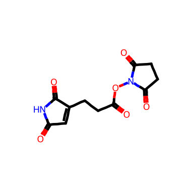 O=C1C=C(CCC(=O)ON2C(=O)CCC2=O)C(=O)N1